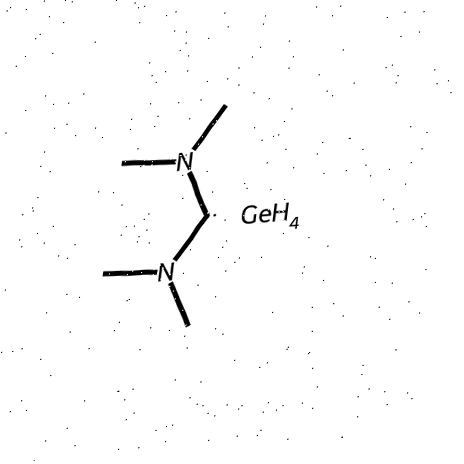 CN(C)[CH]N(C)C.[GeH4]